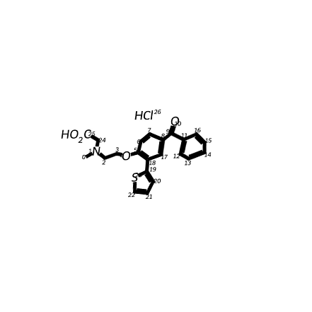 CN(CCOc1ccc(C(=O)c2ccccc2)cc1-c1cccs1)CC(=O)O.Cl